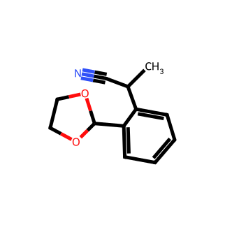 CC(C#N)c1ccccc1C1OCCO1